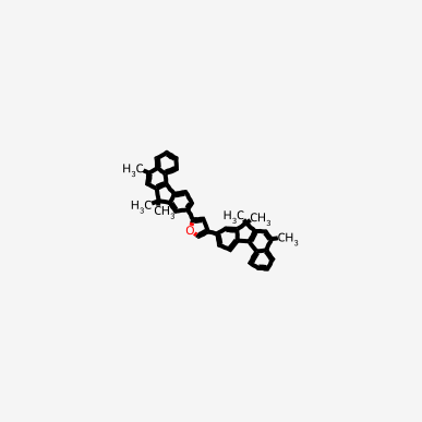 Cc1cc2c(c3ccccc13)-c1ccc(-c3coc(-c4ccc5c(c4)C(C)(C)c4cc(C)c6ccccc6c4-5)c3)cc1C2(C)C